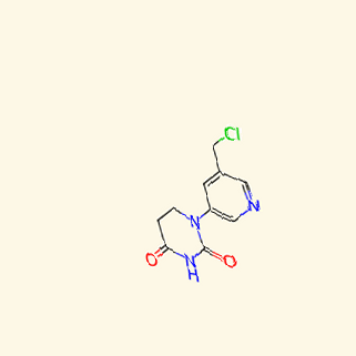 O=C1CCN(c2cncc(CCl)c2)C(=O)N1